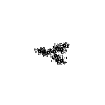 CC(=O)N[C@H]1[C@H](OC[C@H]2O[C@@H](O[C@H]3[C@H](O)[C@@H](NC(C)=O)[C@H](O[C@H]4[C@@H](O)[C@@H](CO)O[C@@H](O[C@H]5[C@H](O)[C@@H](O)[C@H](O)O[C@@H]5CO)[C@@H]4O)O[C@@H]3CO)[C@H](O)[C@@H](O[C@@H]3O[C@H](CO)[C@@H](O[C@@H]4O[C@H](CO)[C@H](O)[C@H](O[C@@H]5O[C@H](CO)[C@@H](O)[C@H](O)[C@H]5NC(C)=O)[C@H]4O)[C@H](O)[C@H]3NC(C)=O)[C@H]2O)O[C@H](CO)[C@@H](O[C@@H]2O[C@H](CO)[C@H](O)[C@H](O[C@H]3O[C@H](CO)[C@H](O)[C@H](O)[C@H]3O)[C@H]2O)[C@@H]1O